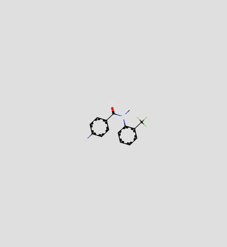 CN(C(=O)c1ccc(N)cc1)c1ccccc1C(F)(F)F